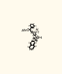 COC(CNCC(C)NS(=O)(=O)c1ccc2cnccc2c1)c1ccccc1.Cl